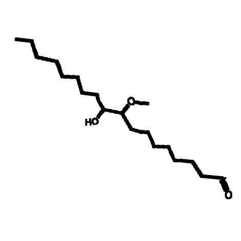 CCCCCCCCC(O)C(CCCCCCC[C]=O)OC